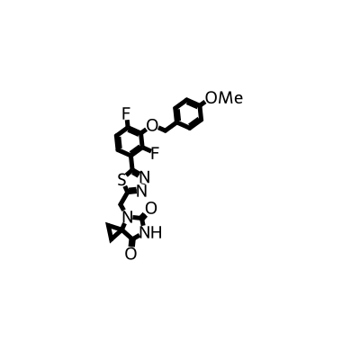 COc1ccc(COc2c(F)ccc(-c3nnc(CN4C(=O)NC(=O)C45CC5)s3)c2F)cc1